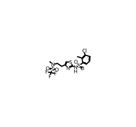 Cc1c(Cl)cccc1S(=O)(=O)Nc1nc(CCN(C)S(=O)(=O)C(F)(F)F)cs1